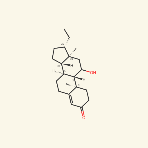 CC[C@H]1CC[C@H]2[C@@H]3CCC4=CC(=O)CC[C@]4(C)[C@H]3C(O)C[C@]12C